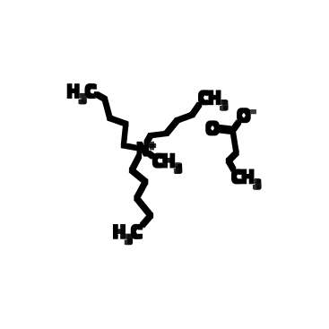 CCCC(=O)[O-].CCCCC[N+](C)(CCCCC)CCCCC